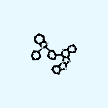 c1ccc(-n2c(-c3cccc(-c4nc5ccccc5c5nc6oc7ccccc7n6c45)c3)nc3ccccc32)cc1